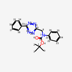 CC(C)(C)OC(=O)N(Cc1nnc(-c2ccccc2)nn1)c1ccccc1